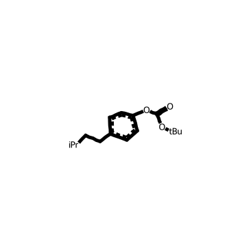 CC(C)CCc1ccc(OC(=O)OC(C)(C)C)cc1